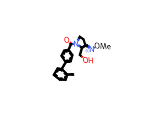 CO/N=C1\CCN(C(=O)c2ccc(-c3ccccc3C)cc2)C1CO